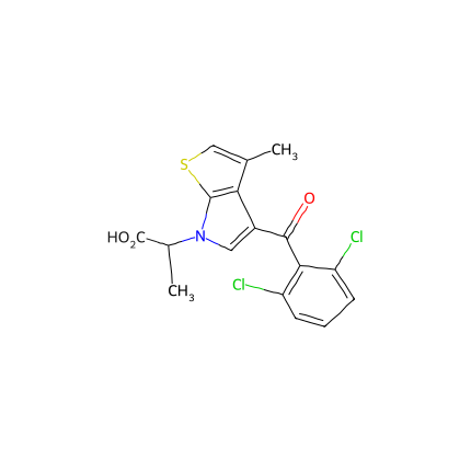 Cc1csc2c1c(C(=O)c1c(Cl)cccc1Cl)cn2C(C)C(=O)O